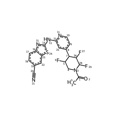 CC(=O)N1CC(F)C(c2ccnc(Nc3nc4ccc(C#N)cc4s3)c2)C(F)C1F